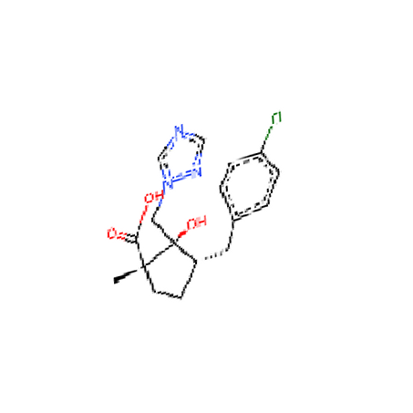 C[C@]1(C(=O)O)CC[C@@H](Cc2ccc(Cl)cc2)[C@@]1(O)Cn1cncn1